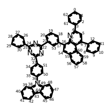 c1ccc(-c2cc(-c3ccccc3)c3c(n2)c(-c2cccc(-c4nc(-c5ccccc5)nc(-c5ccc(-n6c7ccccc7c7ccccc76)cc5)n4)c2)cc2ccccc23)cc1